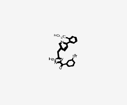 CCCC1CCCC(C(=O)c2n[nH]c(Cc3ccc(-c4ccccc4C(=O)O)nc3)n2)C1